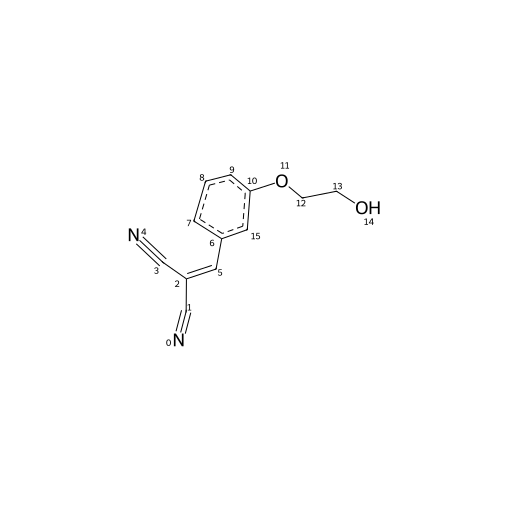 N#CC(C#N)=Cc1cccc(OCCO)c1